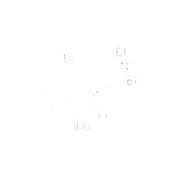 CCC(C)C(C(=O)OCC[N+](C)(CC)CC)c1ccccc1.[Br-]